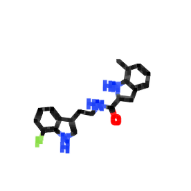 Cc1cccc2cc(C(=O)NCCc3c[nH]c4c(F)cccc34)[nH]c12